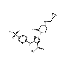 N=C1C[C@H](NCC2CC2)CC[C@@H]1n1cc(C(N)=O)c(Nc2ccc(S(=O)(=O)C(F)(F)F)cc2)n1